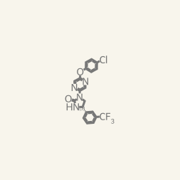 O=C1N[C@@H](c2cccc(C(F)(F)F)c2)CN1c1cnc(Oc2ccc(Cl)cc2)cn1